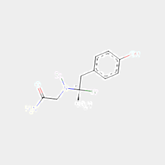 NC(=O)CN(Br)[C@@](Br)(Cc1ccc(O)cc1)C(=O)O